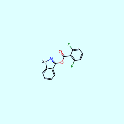 O=C(Oc1n[se]c2ccccc12)c1c(F)cccc1F